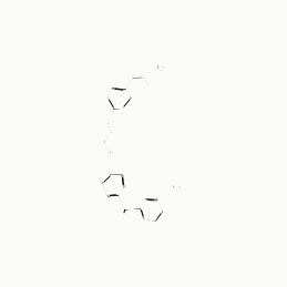 COc1cccc(C(=O)c2ccc(OCCCOc3ccc(C[C@H](OC)C(=O)O)cc3)cc2)c1